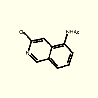 CC(=O)Nc1cccc2cnc(Cl)cc12